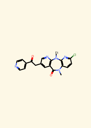 CCN1c2ncc(CC(=O)c3ccncc3)cc2C(=O)N(C)c2ccc(Cl)nc21